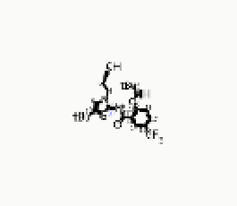 C#CCCn1cc(C(C)(C)C)s/c1=N\C(=O)c1cc(C(F)(F)F)ccc1ONC(C)(C)C